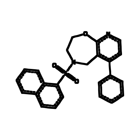 O=S(=O)(c1cccc2ccccc12)N1CCOc2nccc(-c3ccccc3)c2C1